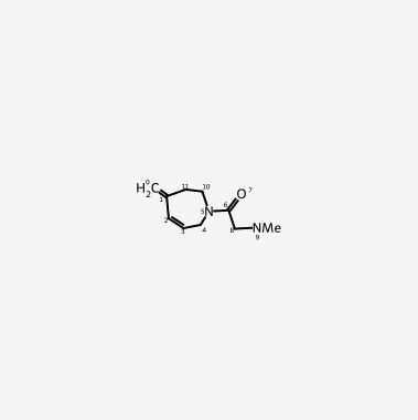 C=C1C=CCN(C(=O)CNC)CC1